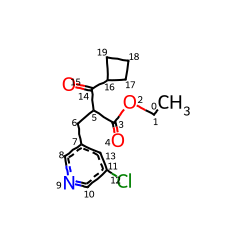 CCOC(=O)C(Cc1cncc(Cl)c1)C(=O)C1CCC1